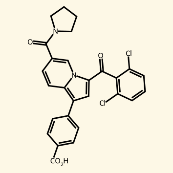 O=C(O)c1ccc(-c2cc(C(=O)c3c(Cl)cccc3Cl)n3cc(C(=O)N4CCCC4)ccc23)cc1